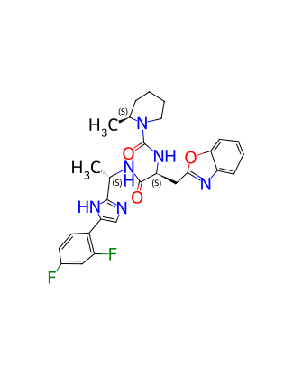 C[C@H](NC(=O)[C@H](Cc1nc2ccccc2o1)NC(=O)N1CCCC[C@@H]1C)c1ncc(-c2ccc(F)cc2F)[nH]1